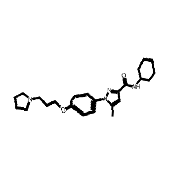 Cc1cc(C(=O)NC2CCCCC2)nn1-c1ccc(OCCCN2CCCC2)cc1